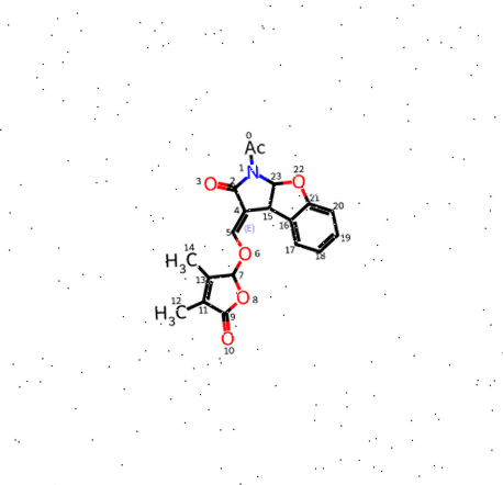 CC(=O)N1C(=O)/C(=C/OC2OC(=O)C(C)=C2C)C2c3ccccc3OC21